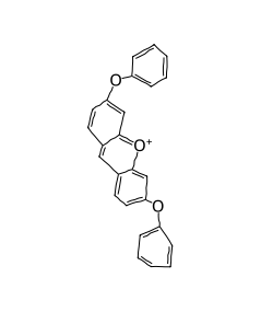 c1ccc(Oc2ccc3cc4ccc(Oc5ccccc5)cc4[o+]c3c2)cc1